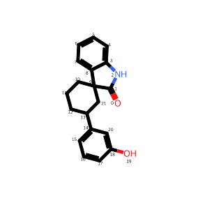 O=C1Nc2ccccc2C12CCCC(c1cccc(O)c1)C2